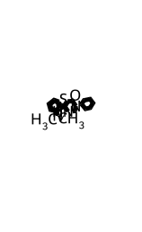 CN(C)c1cccc2sc3c(c12)NCN(C1CCCCC1)C3=O